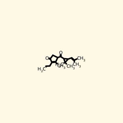 C=CCC1=C(C)C(C(=O)C2C(C=C(C)C)C2(C)C)CC1=O